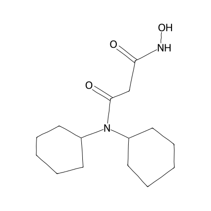 O=C(CC(=O)N(C1CCCCC1)C1CCCCC1)NO